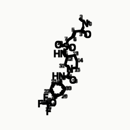 CN(C)C(=O)/C=C/CS(=O)(=O)NC1CCCN(C(=O)Nc2ccc(OC(F)(F)F)cc2)C1